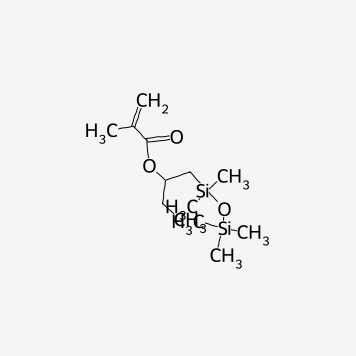 C=C(C)C(=O)OC(CC)C[Si](C)(C)O[Si](C)(C)C